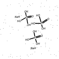 O=P(O)(O)O.O=P(O)(O)O.O=P(O)(O)O.[NaH].[NaH]